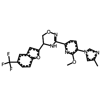 COc1nc(C2=NOCC(c3cc4cc(C(F)(F)F)ccc4o3)N2)ccc1-n1cnc(C)c1